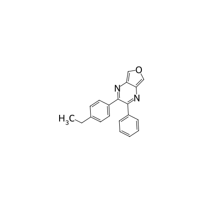 CCc1ccc(-c2nc3cocc3nc2-c2ccccc2)cc1